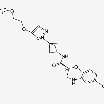 O=C(NC12CC(n3cc(OCCOC(F)(F)F)cn3)(C1)C2)[C@@H]1CNc2cc(Cl)ccc2O1